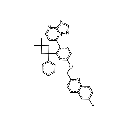 CC1(C)CC(c2ccccc2)(c2cc(OCc3ccc4cc(F)ccc4n3)ccc2-c2ccnc3ncnn23)C1